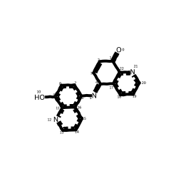 O=C1C=CC(=Nc2ccc(O)c3ncccc23)c2cccnc21